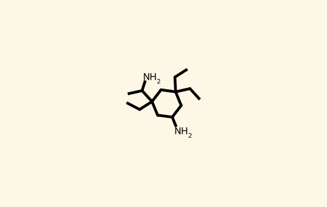 CCC1(CC)CC(N)CC(CC)(C(C)N)C1